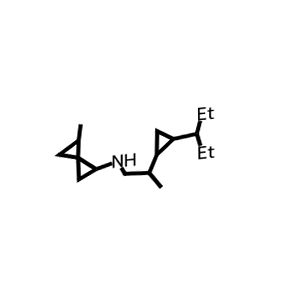 CCC(CC)C1CC1C(C)CNC1CC12CC2C